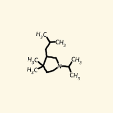 CC(C)CC1CN(C(C)C)CCC1(C)C